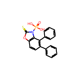 O=P(O)(O)n1c(=S)oc2ccc(-c3ccccc3)c(-c3ccccc3)c21